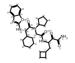 NC(=O)C(=O)C(CC1CCC1)NC(=O)CN(C(=O)[C@@H](Nc1nc2ccccc2o1)C1CCCCC1)C1CCCC1